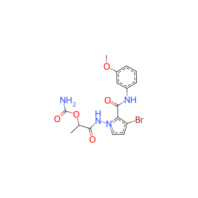 COc1cccc(NC(=O)c2c(Br)ccn2NC(=O)C(C)OC(N)=O)c1